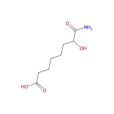 NC(=O)C(O)CCCCCC(=O)O